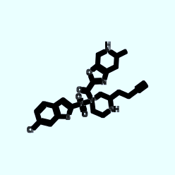 C#CCCC1C[N+](C(=O)c2nc3c(o2)CNC(C)C3)(S(=O)(=O)c2cc3ccc(Cl)cc3s2)CCN1